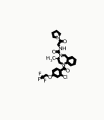 C[C@@H]1CN(C(=O)c2ccc(OCC(F)(F)F)cc2Cl)c2ccccc2CN1C(=O)NCC(=O)N1CCCC1